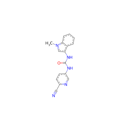 Cn1cc(NC(=O)Nc2ccc(C#N)nc2)c2ccccc21